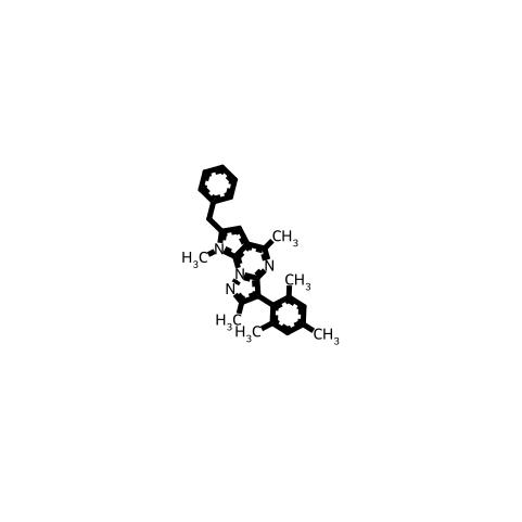 Cc1cc(C)c(-c2c(C)nn3c2nc(C)c2cc(Cc4ccccc4)n(C)c23)c(C)c1